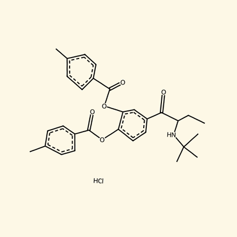 CCC(NC(C)(C)C)C(=O)c1ccc(OC(=O)c2ccc(C)cc2)c(OC(=O)c2ccc(C)cc2)c1.Cl